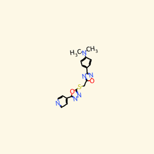 CN(C)c1ccc(-c2noc(CSc3nnc(-c4ccncc4)o3)n2)cc1